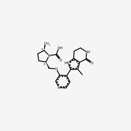 C[C@@H]1CC[C@H](COc2cnccc2-c2[nH]c3c(c2I)C(=O)NCC3)N1C(=O)O